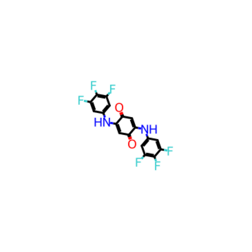 O=C1C=C(Nc2cc(F)c(F)c(F)c2)C(=O)C=C1Nc1cc(F)c(F)c(F)c1